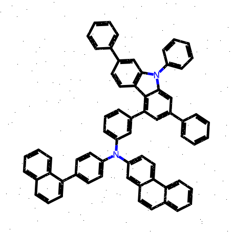 c1ccc(-c2ccc3c4c(-c5cccc(N(c6ccc(-c7cccc8ccccc78)cc6)c6ccc7c(ccc8ccccc87)c6)c5)cc(-c5ccccc5)cc4n(-c4ccccc4)c3c2)cc1